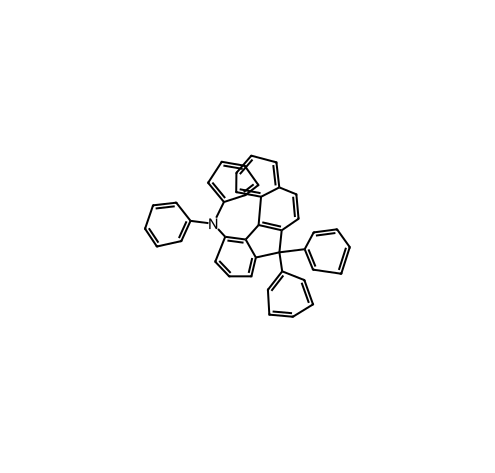 c1ccc(N(c2ccccc2)c2cccc3c2-c2c(ccc4ccccc24)C3(c2ccccc2)c2ccccc2)cc1